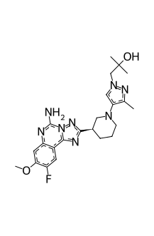 COc1cc2nc(N)n3nc([C@@H]4CCCN(c5cn(CC(C)(C)O)nc5C)C4)nc3c2cc1F